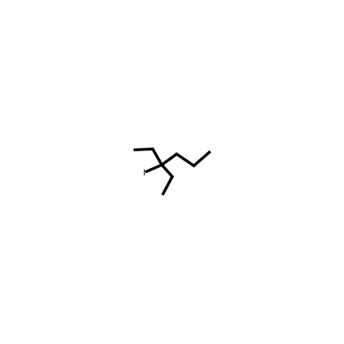 CCCC(I)(CC)CC